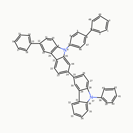 c1ccc(-c2ccc(-n3c4ccc(-c5ccccc5)cc4c4ccc(-c5ccc6c(c5)c5ccccc5n6-c5ccccc5)cc43)cc2)cc1